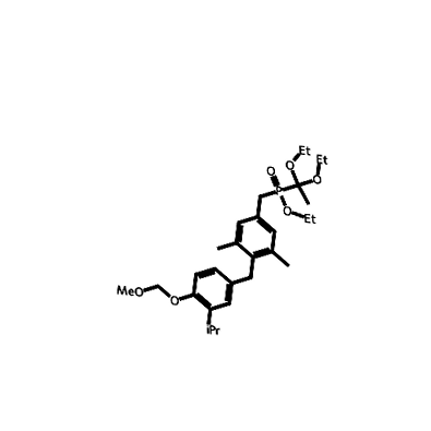 CCOC(C)(OCC)P(=O)(Cc1cc(C)c(Cc2ccc(OCOC)c(C(C)C)c2)c(C)c1)OCC